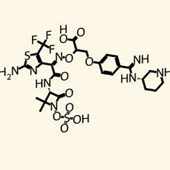 CC1(C)[C@H](NC(=O)/C(=N\OC(COc2ccc(C(=N)N[C@H]3CCCNC3)cc2)C(=O)O)c2nc(N)sc2C(F)(F)F)C(=O)N1OS(=O)(=O)O